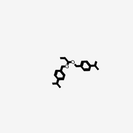 CCC(OCc1ccc(C(C)C)cc1)OCc1ccc(C(C)C)cc1